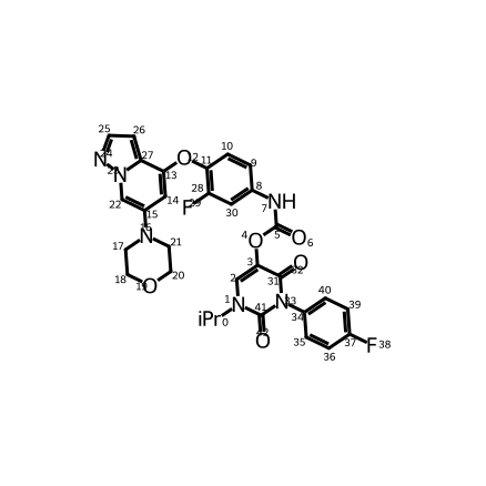 CC(C)n1cc(OC(=O)Nc2ccc(Oc3cc(N4CCOCC4)cn4nccc34)c(F)c2)c(=O)n(-c2ccc(F)cc2)c1=O